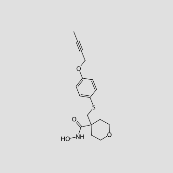 CC#CCOc1ccc(SCC2(C(=O)NO)CCOCC2)cc1